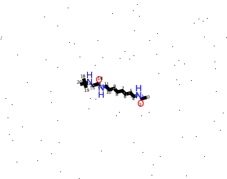 CC(=O)NCCCCCCCCNC(=O)CNC(C)(C)C